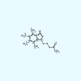 CC(=O)CCCc1c[nH]c2c(C)c(C)c(C)c(C)c12